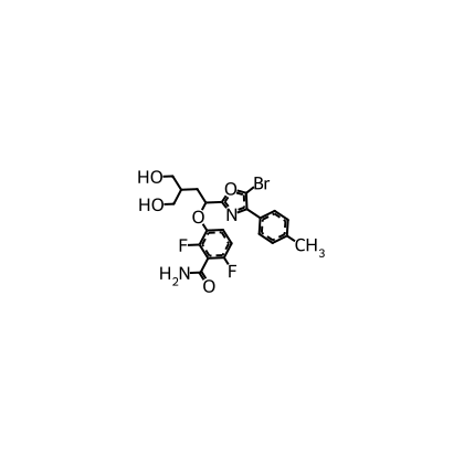 Cc1ccc(-c2nc(C(CC(CO)CO)Oc3ccc(F)c(C(N)=O)c3F)oc2Br)cc1